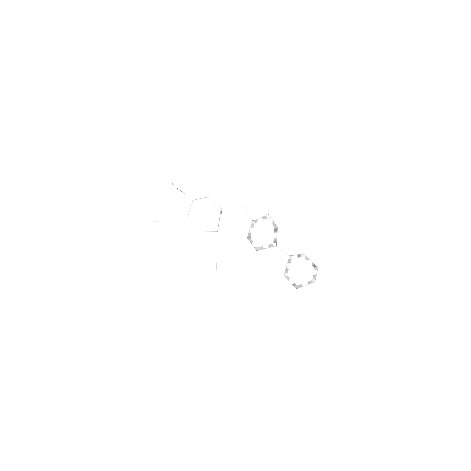 Cl.N[C@H]1C[C@H](Cc2ccc(-c3ccccc3)cc2)CC[C@@H]1O